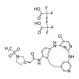 CS(=O)(=O)N1CC[C@H](CC(=O)Nc2ccc3cc2CCc2cncc(c2)Nc2ncc(Cl)c(n2)N3)C1.O=C(O)C(F)(F)F.O=C(O)C(F)(F)F